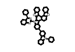 c1ccc(-c2nc(-n3c4ccc(-c5ccc6c(c5)c5ccccc5n6-c5ccccc5)cc4c4c5ccc6oc7ccccc7c6c5c5c6ccccc6oc5c43)nc3ccccc23)cc1